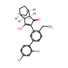 CCc1ccc(-c2ccc(Cl)cc2Cl)cc1C1=C(O)[C@H]2[C@H]3CC[C@H](C3)[C@H]2C1=O